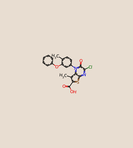 Cc1ccc(-n2c(=O)c(Cl)nc3sc(C(=O)O)c(C)c32)cc1Oc1ccccc1